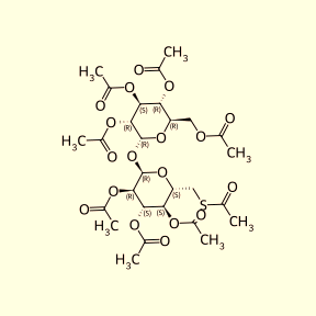 CC(=O)OC[C@H]1O[C@H](O[C@H]2O[C@H](CSC(C)=O)[C@@H](OC(C)=O)[C@H](OC(C)=O)[C@H]2OC(C)=O)[C@H](OC(C)=O)[C@@H](OC(C)=O)[C@@H]1OC(C)=O